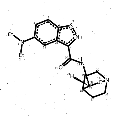 CCN(CC)c1ccc2snc(C(=O)N[C@@H]3CN4CCC3CC4)c2c1